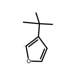 CC(C)(C)c1[c]occ1